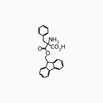 NC(Cc1ccccc1)(C(=O)O)C(=O)OCC1c2ccccc2-c2ccccc21